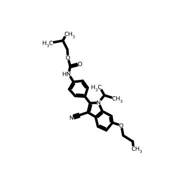 CCCOc1ccc2c(C#N)c(-c3ccc(NC(=O)OCC(C)C)cc3)n(C(C)C)c2c1